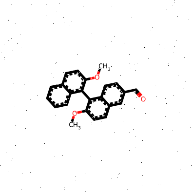 COc1ccc2ccccc2c1-c1c(OC)ccc2cc(C=O)ccc12